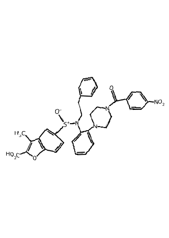 Cc1c(C(=O)O)oc2ccc([S+]([O-])N(CCc3ccccc3)c3ccccc3N3CCN(C(=O)c4ccc([N+](=O)[O-])cc4)CC3)cc12